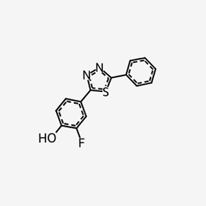 Oc1ccc(-c2nnc(-c3ccccc3)s2)cc1F